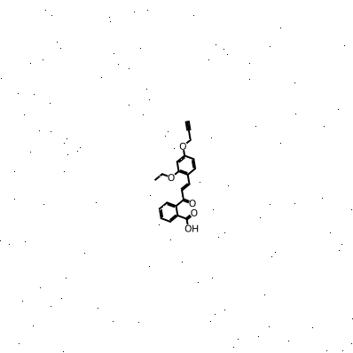 C#CCOc1ccc(C=CC(=O)c2ccccc2C(=O)O)c(OCC)c1